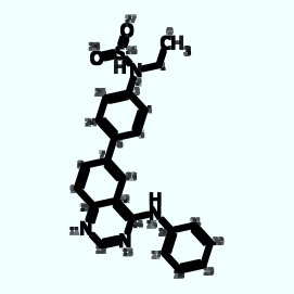 CCN(c1ccc(-c2ccc3ncnc(Nc4c[c]ccc4)c3c2)cc1)[SH](=O)=O